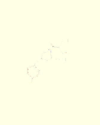 CC(CS)C(=O)N1CC(Sc2ccc(Cl)cc2)C[C@H]1C(=O)O